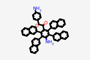 Nc1ccc(C(=O)C(=O)c2c(-c3ccc4ccccc4c3)c(-c3ccc4ccccc4c3)c(N)c(-c3ccc4ccccc4c3)c2-c2ccc3ccccc3c2)cc1